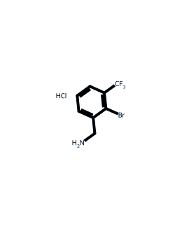 Cl.NCc1cccc(C(F)(F)F)c1Br